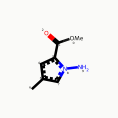 COC(=O)c1cc(C)cn1N